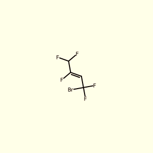 FC(=CC(F)(F)Br)C(F)F